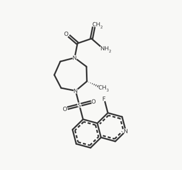 C=C(N)C(=O)N1CCCN(S(=O)(=O)c2cccc3cncc(F)c23)[C@@H](C)C1